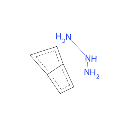 NNN.c1cc2ccc1-2